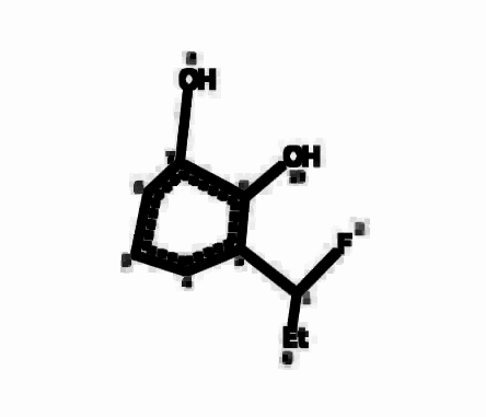 CCC(F)c1cccc(O)c1O